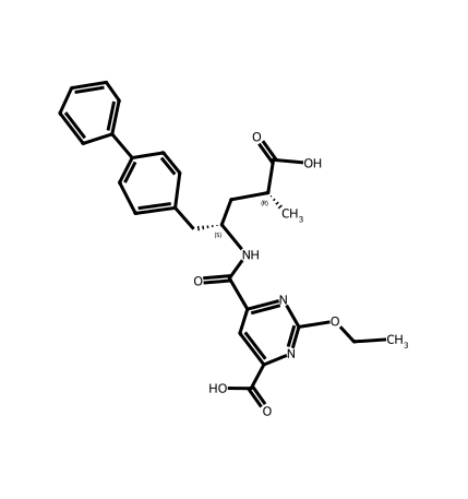 CCOc1nc(C(=O)O)cc(C(=O)N[C@H](Cc2ccc(-c3ccccc3)cc2)C[C@@H](C)C(=O)O)n1